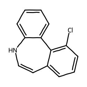 Clc1cccc2c1-c1ccccc1NC=C2